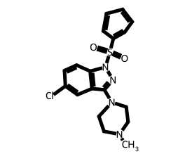 CN1CCN(c2nn(S(=O)(=O)c3ccccc3)c3ccc(Cl)cc23)CC1